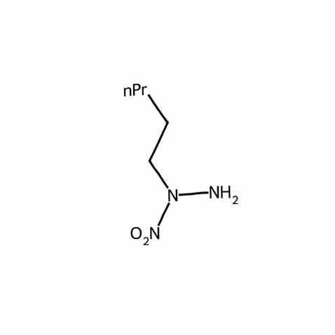 CCCCCN(N)[N+](=O)[O-]